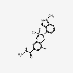 CCS(=O)(=O)N(Cc1ccc(C(=O)NN)cc1F)c1cccc2c1cnn2C